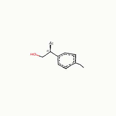 CC(=O)[C@H](CO)c1ccc(C)cc1